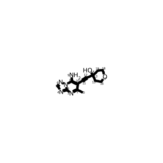 Cc1nc2ncnn2c(N)c1C#CC1(O)CCOCC1